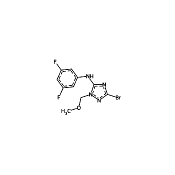 COCn1nc(Br)nc1Nc1cc(F)cc(F)c1